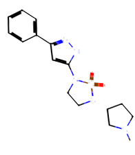 N#CN1CC[C@@H](N2CCN(c3cc(-c4ccccc4)n[nH]3)S2(=O)=O)C1